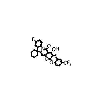 O=c1oc2cc3n(c(=O)c2c(O)c1Sc1cccc(C(F)(F)F)c1)-c1ccc(F)cc1C31CCCCC1